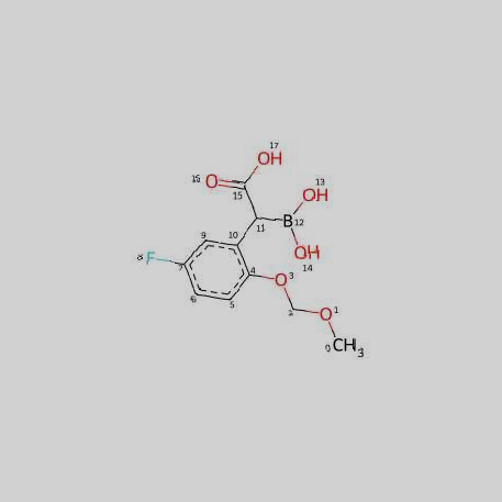 COCOc1ccc(F)cc1C(B(O)O)C(=O)O